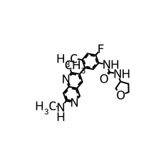 CNc1cc2nc(C)c(-c3cc(NC(=O)NC4CCOC4)c(F)cc3C)cc2cn1